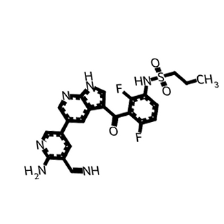 CCCS(=O)(=O)Nc1ccc(F)c(C(=O)c2c[nH]c3ncc(-c4cnc(N)c(C=N)c4)cc23)c1F